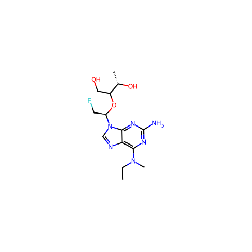 CCN(C)c1nc(N)nc2c1ncn2[C@@H](CF)OC(CO)[C@H](C)O